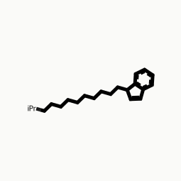 CC(C)CCCCCCCCCCC1C=Cc2ccccc21